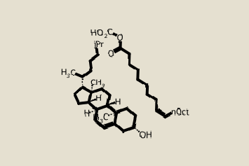 CC(C)CCCC(C)[C@H]1CC[C@H]2[C@@H]3CC=C4C[C@@H](O)CC[C@]4(C)[C@H]3CC[C@]12C.CCCCCCCC/C=C\CCCCCCCC(=O)OC(=O)O